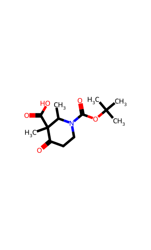 CC1N(C(=O)OC(C)(C)C)CCC(=O)C1(C)C(=O)O